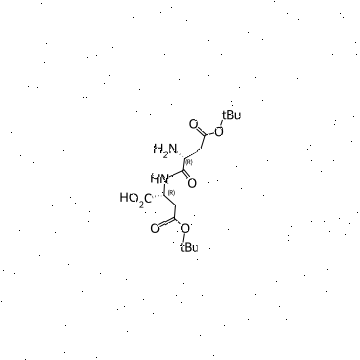 CC(C)(C)OC(=O)C[C@@H](N)C(=O)N[C@H](CC(=O)OC(C)(C)C)C(=O)O